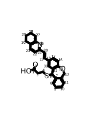 O=C(O)CCSC1c2ccccc2COc2ccc(C=Cc3ccc4c(n3)CCCC4)cc21